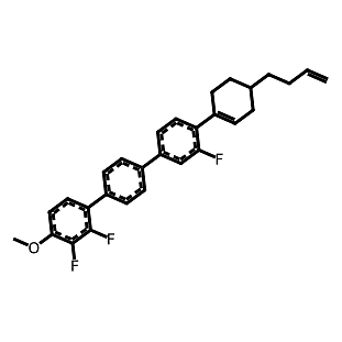 C=CCCC1CC=C(c2ccc(-c3ccc(-c4ccc(OC)c(F)c4F)cc3)cc2F)CC1